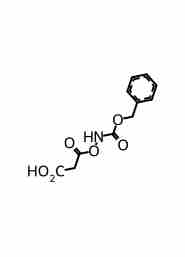 O=C(O)CC(=O)ONC(=O)OCc1ccccc1